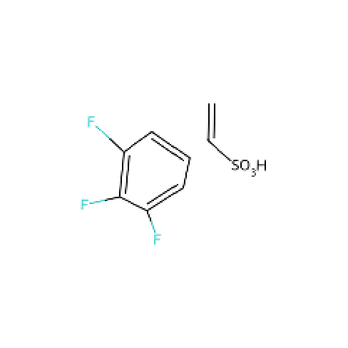 C=CS(=O)(=O)O.Fc1cccc(F)c1F